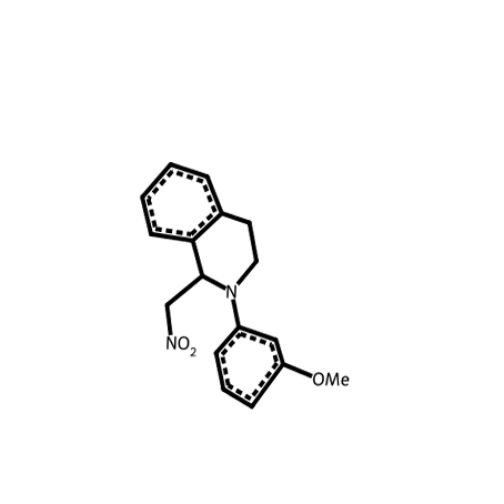 COc1cccc(N2CCc3ccccc3C2C[N+](=O)[O-])c1